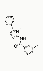 Cc1cccc(C(=O)Nc2ncc(-c3ccccc3)n2C)c1